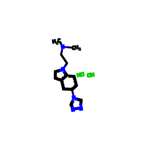 CN(C)CCn1ccc2cc(-n3cnnc3)ccc21.Cl.Cl